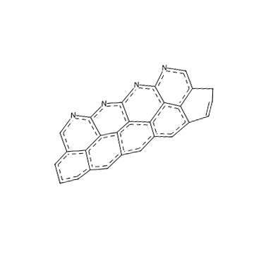 C1=Cc2cc3cc4cc5cccc6cnc7nc8nc9ncc(c2c9c3c8c4c7c65)C1